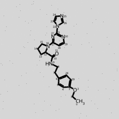 CCOc1ccc(CCNC(=O)C2CCCN2c2ccnc(-n3ccnc3)n2)cc1